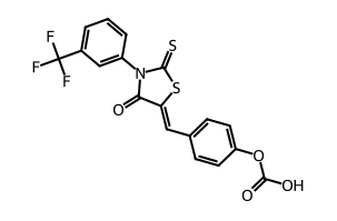 O=C(O)Oc1ccc(/C=C2\SC(=S)N(c3cccc(C(F)(F)F)c3)C2=O)cc1